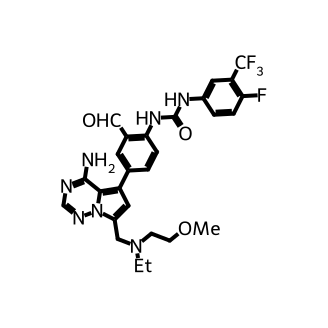 CCN(CCOC)Cc1cc(-c2ccc(NC(=O)Nc3ccc(F)c(C(F)(F)F)c3)c(C=O)c2)c2c(N)ncnn12